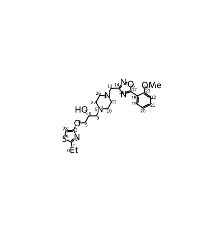 CCc1nc(OC[C@H](O)CN2CCN(Cc3noc(-c4ccccc4OC)n3)CC2)cs1